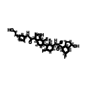 O=C(Nc1cnn(CCO)c1)c1n[nH]c2c(F)c(-c3c(F)ccc(NS(=O)(=O)c4cc(F)cc5c4CCC5O)c3F)ccc12